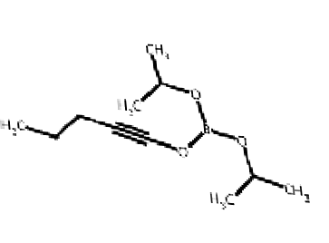 CCCC#COB(OC(C)C)OC(C)C